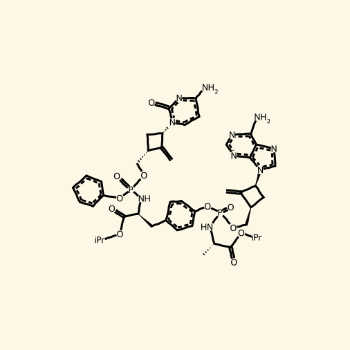 C=C1[C@H](COP(=O)(N[C@@H](Cc2ccc(OP(=O)(N[C@@H](C)C(=O)OC(C)C)OC[C@@H]3C[C@H](n4cnc5c(N)ncnc54)C3=C)cc2)C(=O)OC(C)C)Oc2ccccc2)C[C@@H]1n1ccc(N)nc1=O